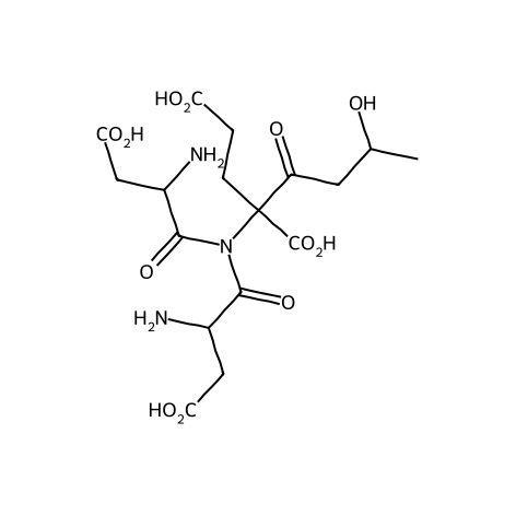 CC(O)CC(=O)C(CCC(=O)O)(C(=O)O)N(C(=O)C(N)CC(=O)O)C(=O)C(N)CC(=O)O